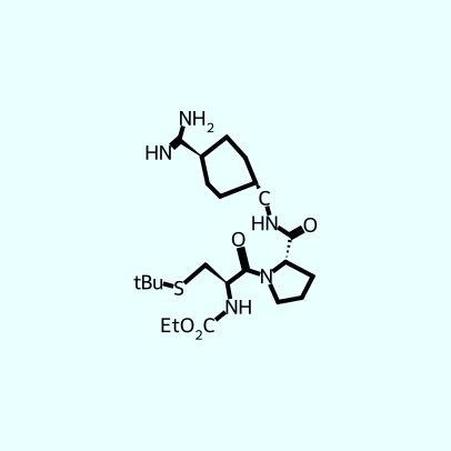 CCOC(=O)N[C@@H](CSC(C)(C)C)C(=O)N1CCC[C@H]1C(=O)NC[C@H]1CC[C@H](C(=N)N)CC1